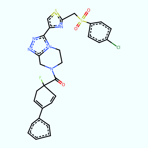 O=C(N1CCn2c(nnc2-c2csc(CS(=O)(=O)c3ccc(Cl)cc3)n2)C1)C1(F)C=CC(c2ccccc2)=CC1